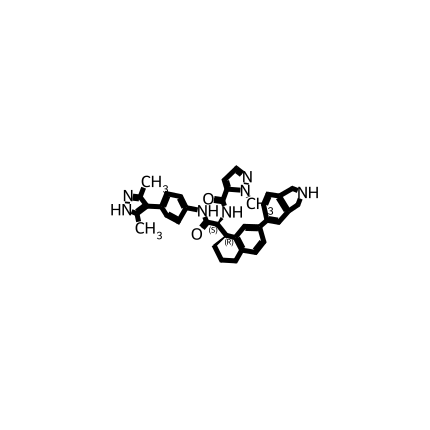 Cc1n[nH]c(C)c1-c1ccc(NC(=O)[C@@H](NC(=O)c2ccnn2C)[C@@H]2CCCc3ccc(-c4ccc5c(c4)CNC5)cc32)cc1